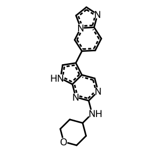 c1cn2cc(-c3c[nH]c4nc(NC5CCOCC5)ncc34)ccc2n1